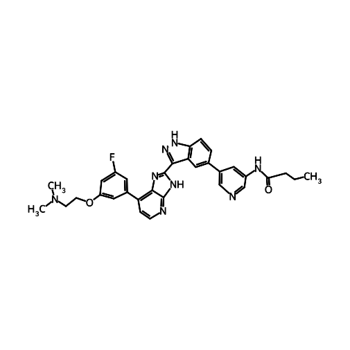 CCCC(=O)Nc1cncc(-c2ccc3[nH]nc(-c4nc5c(-c6cc(F)cc(OCCN(C)C)c6)ccnc5[nH]4)c3c2)c1